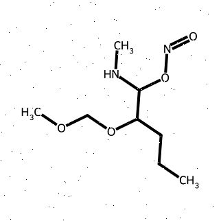 CCCC(OCOC)C(NC)ON=O